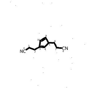 N#CCCC1=CC(CCC#N)C=C1